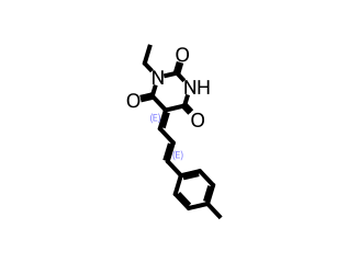 CCN1C(=O)NC(=O)/C(=C\C=C\c2ccc(C)cc2)C1=O